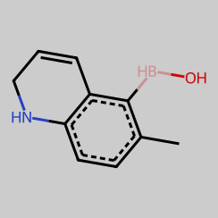 Cc1ccc2c(c1BO)C=CCN2